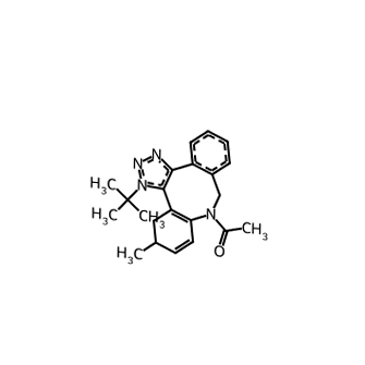 CC(=O)N1Cc2ccccc2-c2nnn(C(C)(C)C)c2C2=C1C=CC(C)C2